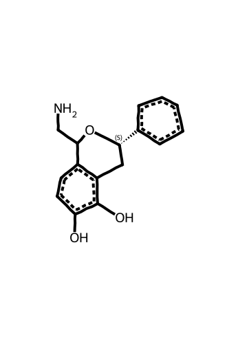 NCC1O[C@H](c2ccccc2)Cc2c1ccc(O)c2O